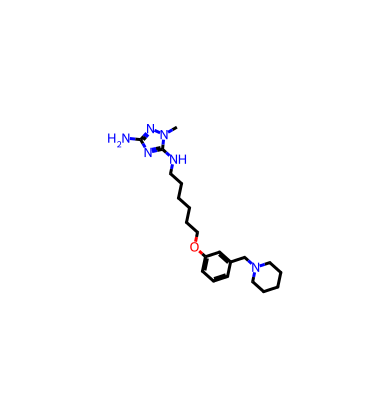 Cn1nc(N)nc1NCCCCCCOc1cccc(CN2CCCCC2)c1